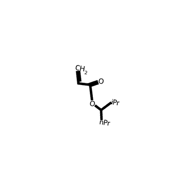 C=CC(=O)OC(CCC)C(C)C